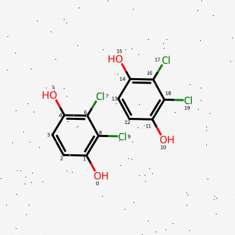 Oc1ccc(O)c(Cl)c1Cl.Oc1ccc(O)c(Cl)c1Cl